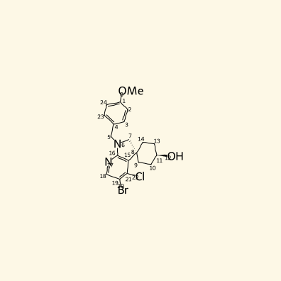 COc1ccc(CN2C[C@]3(CC[C@H](O)CC3)c3c2ncc(Br)c3Cl)cc1